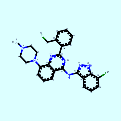 CN1CCN(c2cccc3c(Nc4n[nH]c5c(F)cccc45)nc(-c4ccccc4CF)nc23)CC1